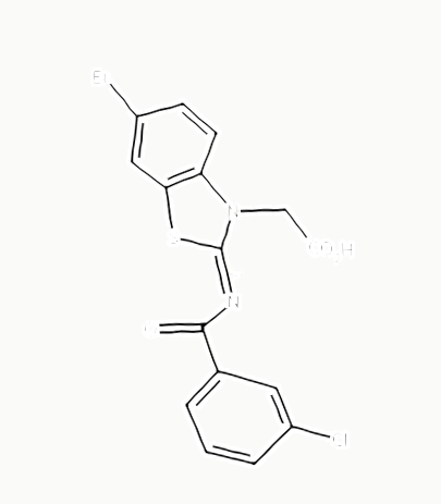 CCc1ccc2c(c1)s/c(=N\C(=O)c1cccc(Cl)c1)n2CC(=O)O